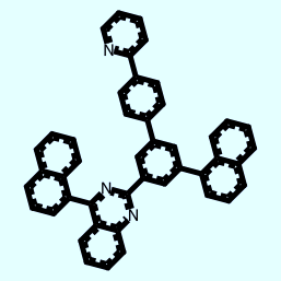 c1ccc(-c2ccc(-c3cc(-c4nc(-c5cccc6ccccc56)c5ccccc5n4)cc(-c4cccc5ccccc45)c3)cc2)nc1